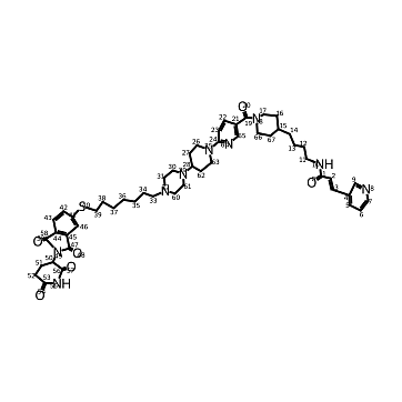 O=C(/C=C/c1cccnc1)NCCCCC1CCN(C(=O)c2ccc(N3CCC(N4CCN(CCCCCCCSc5ccc6c(c5)C(=O)N(C5CCC(=O)NC5=O)C6=O)CC4)CC3)nc2)CC1